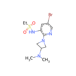 CCS(=O)(=O)Nc1cc(Br)cnc1N1CC(N(C)C)C1